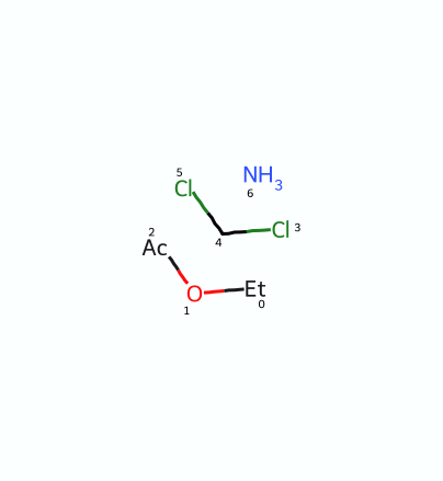 CCOC(C)=O.ClCCl.N